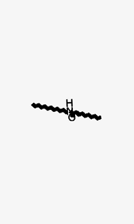 CCCCCCCC=CC(=O)NCCCCCCCCCCCC